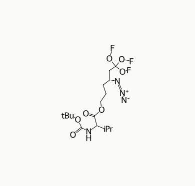 CC(C)C(NC(=O)OC(C)(C)C)C(=O)OCCCC(CC(OF)(OF)OF)N=[N+]=[N-]